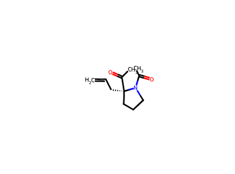 C=CC[C@@]1(C(C)=O)CCCN1C(C)=O